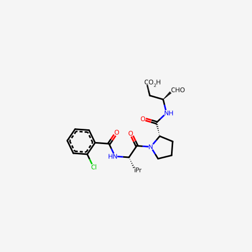 CC(C)[C@H](NC(=O)c1ccccc1Cl)C(=O)N1CCC[C@H]1C(=O)N[C@H](C=O)CC(=O)O